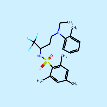 CCN(CCC(NS(=O)(=O)c1c(C)cc(C)cc1C)C(F)(F)F)c1ccccc1C